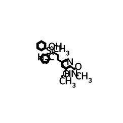 CCOc1cc(CCC(C)(C)[Si](O)(c2ccccc2)c2ccccc2)cnc1C(=O)NC